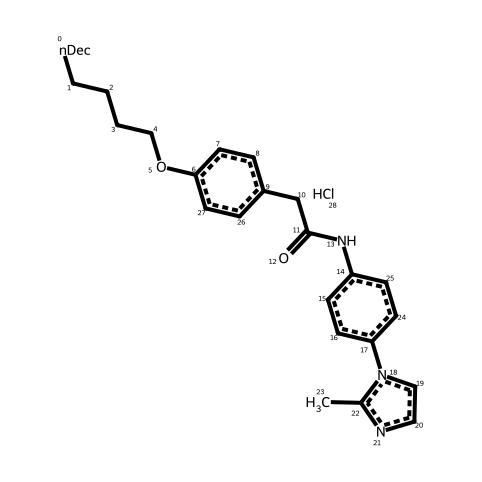 CCCCCCCCCCCCCCOc1ccc(CC(=O)Nc2ccc(-n3ccnc3C)cc2)cc1.Cl